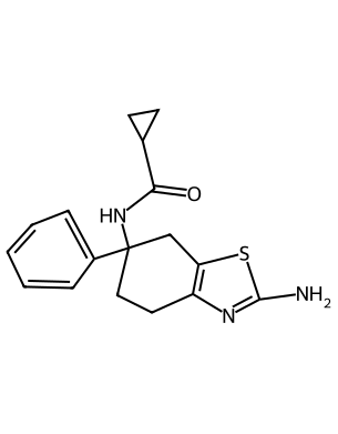 Nc1nc2c(s1)CC(NC(=O)C1CC1)(c1ccccc1)CC2